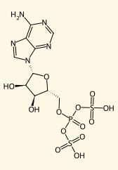 Nc1ncnc2c1ncn2[C@@H]1O[C@H](COP(=O)(OS(=O)(=O)O)OS(=O)(=O)O)[C@@H](O)[C@H]1O